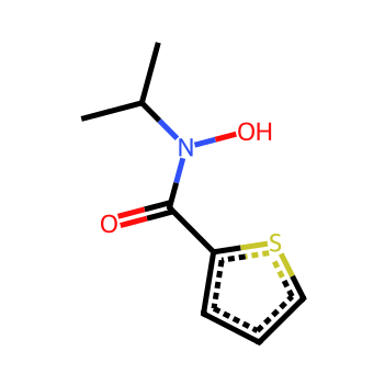 CC(C)N(O)C(=O)c1cccs1